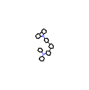 c1ccc(N(c2ccccc2)c2cccc(-c3cccc(-c4ccc(-n5c6ccccc6c6ccccc65)cc4)c3)c2)cc1